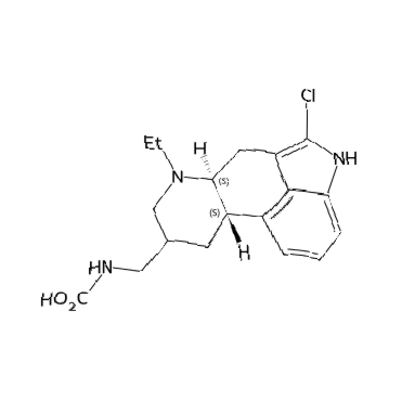 CCN1CC(CNC(=O)O)C[C@H]2c3cccc4[nH]c(Cl)c(c34)C[C@@H]21